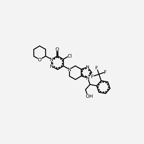 O=c1c(Cl)c(N2CCc3c(ncn3C(CO)c3ccccc3C(F)(F)F)C2)cnn1C1CCCCO1